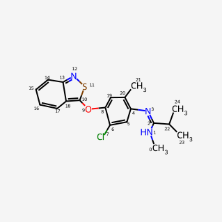 CNC(=Nc1cc(Cl)c(Oc2snc3ccccc23)cc1C)C(C)C